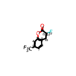 O=C1Oc2cc(C(F)(F)F)ccc2C[C@@H]1F